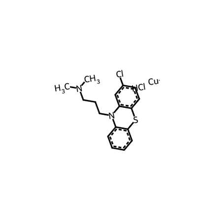 CN(C)CCCN1c2ccccc2Sc2ccc(Cl)cc21.Cl.[Cu]